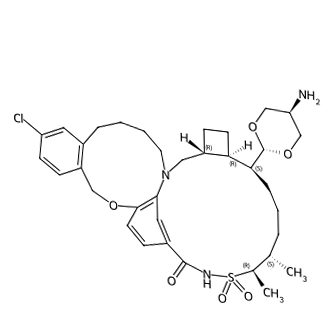 C[C@@H]1[C@@H](C)CCC[C@H]([C@H]2OC[C@H](N)CO2)[C@@H]2CC[C@H]2CN2CCCCc3cc(Cl)ccc3COc3ccc(cc32)C(=O)NS1(=O)=O